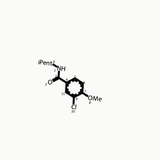 CCCC(C)NC(=O)c1ccc(OC)c(Cl)c1